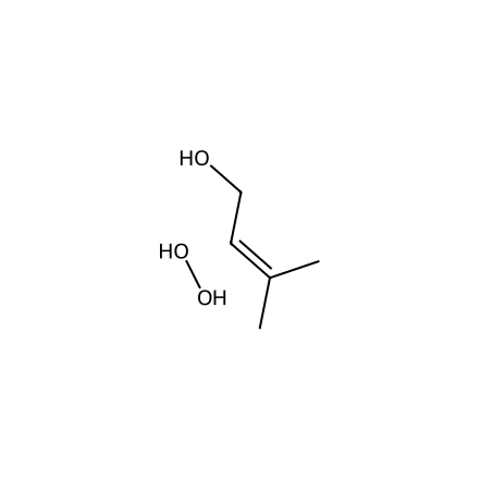 CC(C)=CCO.OO